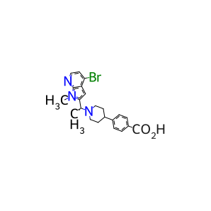 C[C@@H](c1cc2c(Br)ccnc2n1C)N1CCC(c2ccc(C(=O)O)cc2)CC1